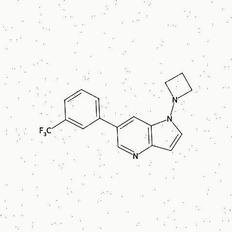 FC(F)(F)c1cccc(-c2cnc3ccn(N4CCC4)c3c2)c1